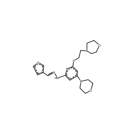 C(=NNc1cc(N2CCOCC2)cc(OCCN2CCOCC2)n1)c1ccoc1